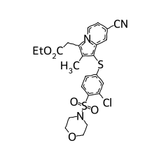 CCOC(=O)Cc1c(C)c(Sc2ccc(S(=O)(=O)N3CCOCC3)c(Cl)c2)c2cc(C#N)ccn12